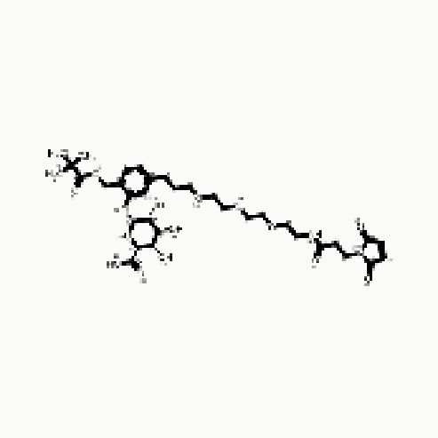 CC(C)(C)C(=O)OCc1ccc(CCCOCCOCCOCCNC(=O)CCN2C(=O)C=CC2=O)cc1O[C@@H]1O[C@H](C(=O)O)[C@@H](O)[C@H](O)[C@H]1O